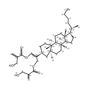 C=C(CO)C(=O)O/C=C(\COC(=O)C(=C)CO)[C@H]1CC[C@@]2(C)[C@@H](CC[C@@H]3[C@@H]2CC[C@]2(C)[C@@H]([C@H](C)CCCC(C)C)CC[C@@H]32)C1